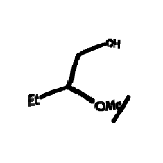 CC.CCC(CO)OC